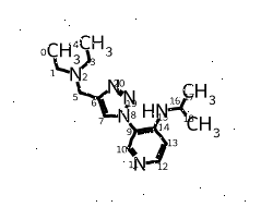 CCN(CC)Cc1cn(-c2cnccc2NC(C)C)nn1